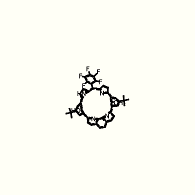 CC(C)(C)c1cc2c3nc(c(-c4c(F)c(F)c(F)c(F)c4F)c4ccc([nH]4)c4cc(C(C)(C)C)cc(c4O)c4ccc5ccc6ccc(nc6c5n4)c(c1)c2O)C=C3